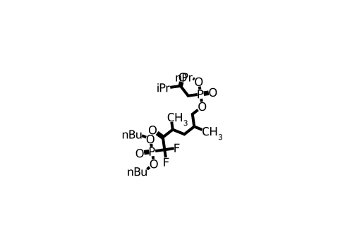 CCCCOP(=O)(OCCCC)C(F)(F)C(=O)C(C)CC(C)COP(=O)(CC(=O)C(C)C)OCCC